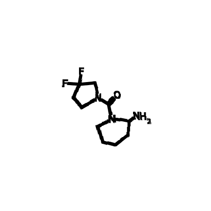 NC1CCCCN1C(=O)N1CCC(F)(F)C1